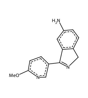 COc1ccc(C2=NCc3ccc(N)cc32)cn1